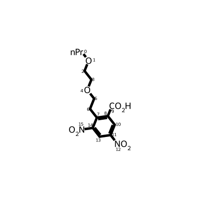 CCCOCCOCCc1c(C(=O)O)cc([N+](=O)[O-])cc1[N+](=O)[O-]